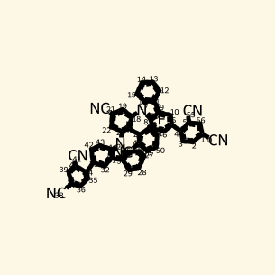 N#Cc1ccc(-c2ccc3c(c2)c2ccccc2n3-c2cc(C#N)cc(-n3c4ccccc4c4cc(-c5ccc(C#N)cc5C#N)ccc43)c2-c2c(C#N)cccc2C(F)(F)F)c(C#N)c1